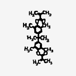 C=C(C)C(=O)Oc1c(C)cc(C(C)(C)c2cc(C)c(OC(=O)C(=C)C)c(C)c2)cc1C